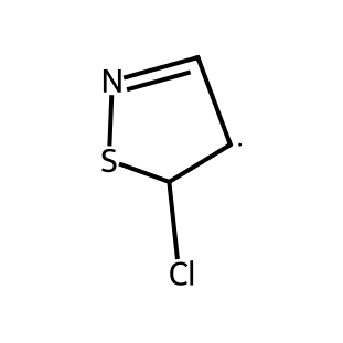 ClC1[CH]C=NS1